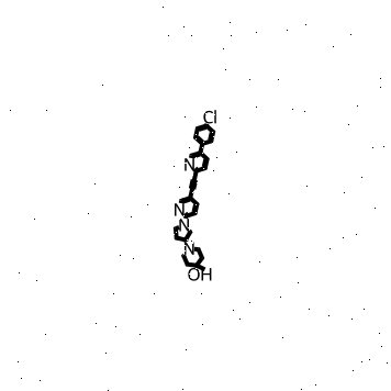 CC1(O)CCN(C2CCN(c3ccc(C#Cc4ccc(-c5ccc(Cl)cc5)cn4)cn3)C2)CC1